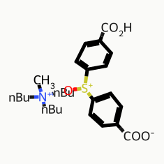 CCCC[N+](C)(CCCC)CCCC.O=C([O-])c1ccc([S+]([O-])c2ccc(C(=O)O)cc2)cc1